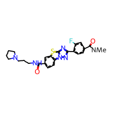 CNC(=O)c1ccc(-c2nc3sc4cc(C(=O)NCCCN5CCCC5)ccc4n3n2)c(F)c1